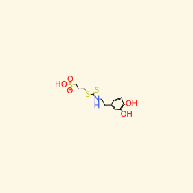 O=S(=O)(O)CCCSC(=S)NCCc1ccc(O)c(O)c1